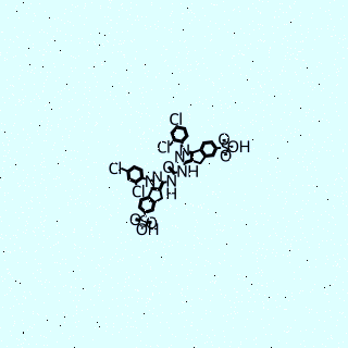 O=C(Nc1nn(-c2ccc(Cl)cc2Cl)c2c1Cc1cc(S(=O)(=O)O)ccc1-2)Nc1nn(-c2ccc(Cl)cc2Cl)c2c1Cc1cc(S(=O)(=O)O)ccc1-2